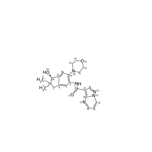 CC1(C)Cc2cc(NC(=O)c3cnn4cccnc34)c(N3CCOCC3)cc2[C@@H]1O